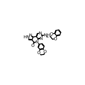 O=c1c2c[nH]nc2c2cnc(NC[C@H]3COc4ccccc4O3)nc2n1-c1ccc2c(c1)OCCO2